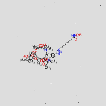 CC[C@H]1OC(=O)[C@H](C)[C@@H](O[C@H]2C[C@@](C)(OC)[C@@H](O)[C@H](C)O2)[C@H](C)[C@@H](O[C@@H]2O[C@H](C)C[C@H](N(C)Cc3ccc(C4CN(CCCCCCCCCC(=O)NO)N=N4)cc3)[C@@H]2O)[C@](C)(O)C[C@@H](C)CN(C)[C@H](C)[C@@H](O)[C@]1(C)O